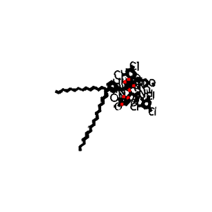 CCCCCCCCCCCCCCCCC=Cc1cccc(N(c2[nH]n(-c3c(Cl)cc(Cl)cc3Cl)c(=O)c2C(c2ccccc2)c2c(N(c3cccc(C=CCCCCCCCCCCCCCCCC)c3)N3C(=O)CC(OC)C3=O)[nH]n(-c3c(Cl)cc(Cl)cc3Cl)c2=O)N2C(=O)CC(OC)C2=O)c1